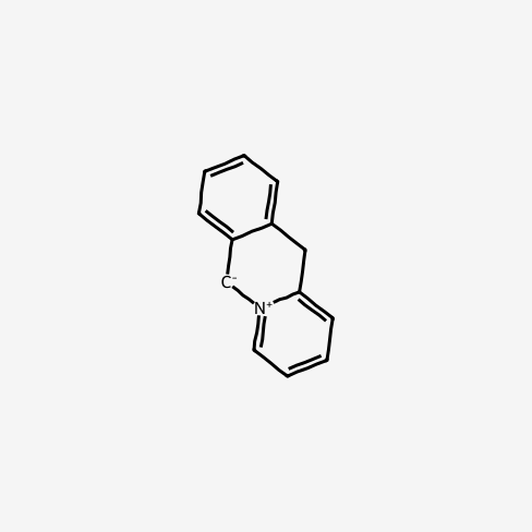 c1ccc2c(c1)[CH-][n+]1ccccc1C2